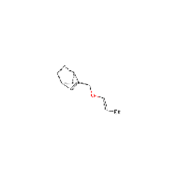 CCC=COCC1=CC2CCC1C2